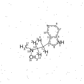 [2H]C([2H])(c1c[nH]c2ccccc12)C([2H])([2H])N(C)C